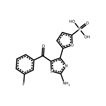 Nc1nc(-c2ccc(P(=O)(O)O)o2)c(C(=O)c2cccc(F)c2)s1